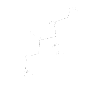 CCNCC(F)CON.Cl.Cl